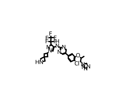 CC(Cn1cnnn1)Oc1cc(-c2cnc(Nc3cn(C4CC5(CNC5)C4)nc3C(F)(F)C(F)(F)F)nc2)ccc1Cl